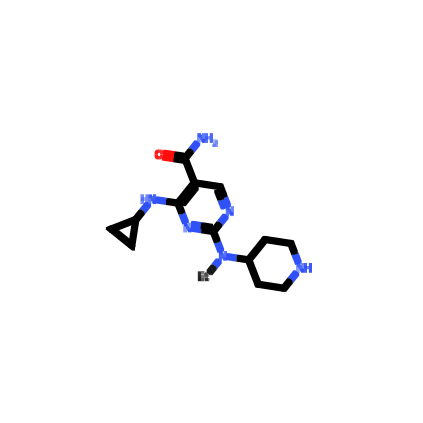 CCN(c1ncc(C(N)=O)c(NC2CC2)n1)C1CCNCC1